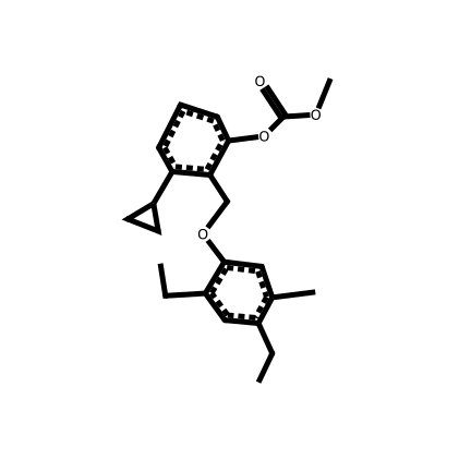 CCc1cc(CC)c(OCc2c(OC(=O)OC)cccc2C2CC2)cc1C